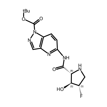 CC(C)(C)OC(=O)n1ncc2nc(NC(=O)[C@@H]3NC[C@H](F)[C@H]3O)ccc21